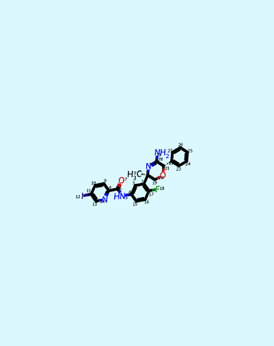 C[C@@]1(c2cc(NC(=O)c3ccc(I)cn3)ccc2F)CO[C@@H](c2ccccc2)C(N)=N1